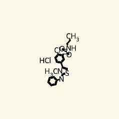 CCCNS(=O)(=O)c1cc(-c2cs/c(=N/c3ccccc3)n2C)ccc1Cl.Cl